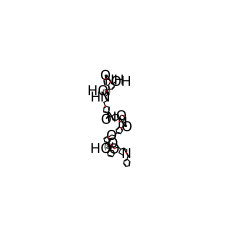 O=C(c1ccc(CCNC[C@H](O)c2ccc(O)c3[nH]c(=O)ccc23)cc1)N1CCC2(CC1)CN(C(=O)c1ccc(COc3cccc([C@](O)(C(=O)OCC4CCN(Cc5ccccc5)CC4)c4ccccc4)c3)cc1)CCO2